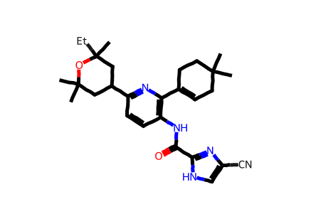 CCC1(C)CC(c2ccc(NC(=O)c3nc(C#N)c[nH]3)c(C3=CCC(C)(C)CC3)n2)CC(C)(C)O1